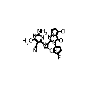 Cc1nc(N)nc(N2C[C@H](C)C2c2nn3ccc(Cl)c3c(=O)n2-c2ccc(F)cc2)c1C#N